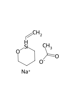 C=C[SiH]1CCCCO1.CC(=O)[O-].[Na+]